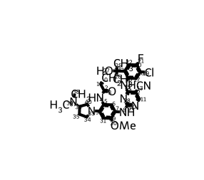 C=CC(=O)Nc1cc(Nc2ncc(C#N)c(Nc3cc(Cl)c(F)cc3C(C)(C)O)n2)c(OC)cc1N1CC[C@@H](N(C)C)C1